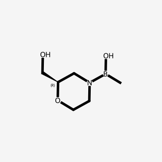 CB(O)N1CCO[C@@H](CO)C1